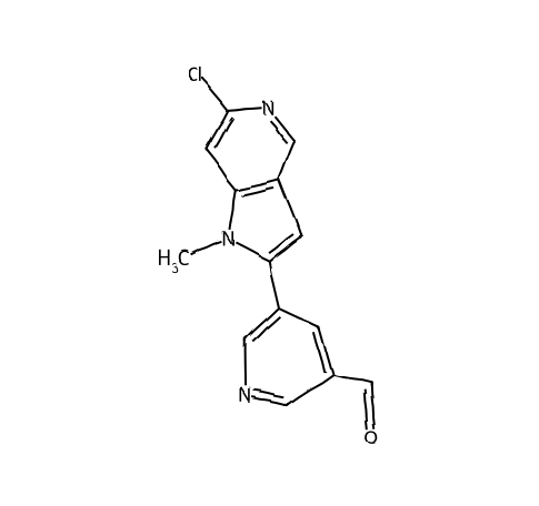 Cn1c(-c2cncc(C=O)c2)cc2cnc(Cl)cc21